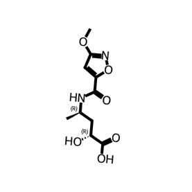 COc1cc(C(=O)N[C@H](C)C[C@@H](O)C(=O)O)on1